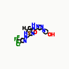 C[C@@H](NC(=O)c1cc(N2CCC(O)CC2)ncn1)c1ncc(CNc2cc(C(F)(F)F)c(Cl)cn2)s1